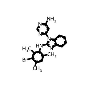 Cc1cc(C)c(Nc2nc3ccccc3n2-c2cc(N)ncn2)c(C)c1Br